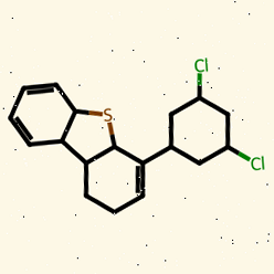 ClC1CC(Cl)CC(C2=CCCC3C2SC2C=CC=CC23)C1